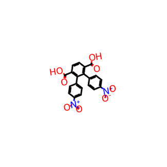 O=C(O)c1ccc(C(=O)O)c(-c2ccc([N+](=O)[O-])cc2)c1-c1ccc([N+](=O)[O-])cc1